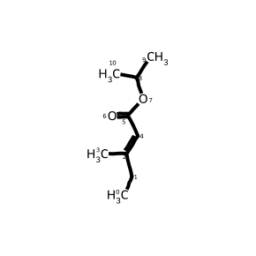 CC/C(C)=C/C(=O)OC(C)C